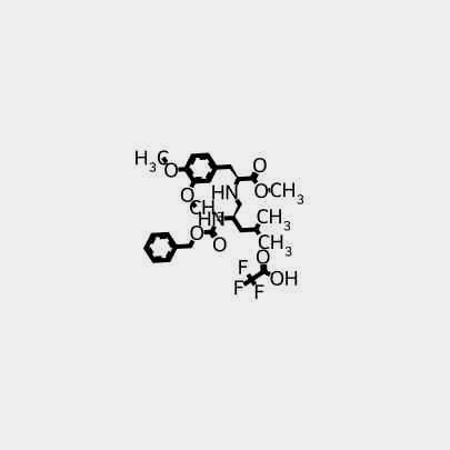 COC(=O)[C@H](Cc1ccc(OC)c(OC)c1)NC[C@@H](CC(C)C)NC(=O)OCc1ccccc1.O=C(O)C(F)(F)F